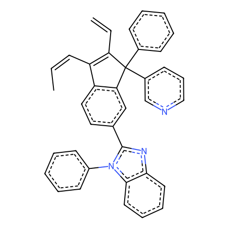 C=CC1=C(/C=C\C)c2ccc(-c3nc4ccccc4n3-c3ccccc3)cc2C1(c1ccccc1)c1cccnc1